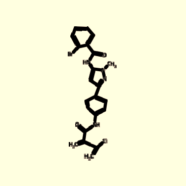 C=C(Cl)C(=C)C(=O)Nc1ccc(-c2cc(NC(=O)c3ccccc3Br)n(C)n2)cc1